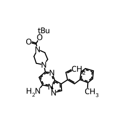 C=C/C(=C\c1ccccc1C)c1cnn2c(N)cc(N3CCN(C(=O)OC(C)(C)C)CC3)nc12